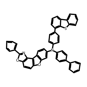 c1ccc(-c2ccc(N(c3ccc(-c4cccc5c4sc4ccccc45)cc3)c3ccc4c(c3)oc3ccc5oc(-c6ccccc6)nc5c34)cc2)cc1